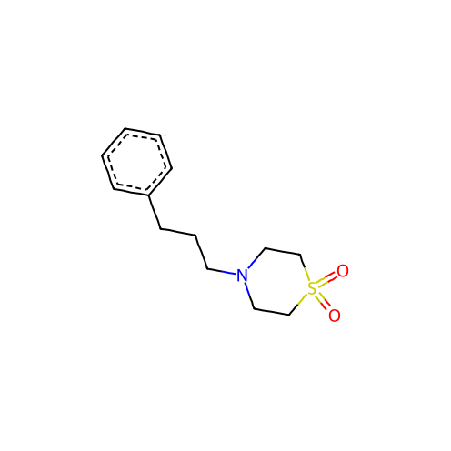 O=S1(=O)CCN(CCCc2c[c]ccc2)CC1